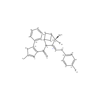 Cc1nc(C(=O)N2/C(=C/Oc3ccc(F)cn3)[C@@H](F)C3CC2C3)c(-c2ccccc2)s1